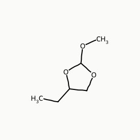 CCC1COC(OC)O1